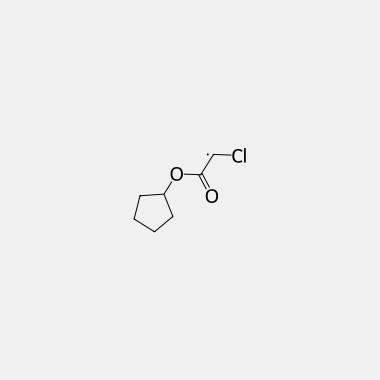 O=C([CH]Cl)OC1CCCC1